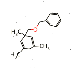 CC1=CC(C)(COCc2ccccc2)C=C(C)C1